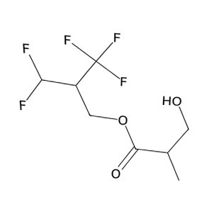 CC(CO)C(=O)OCC(C(F)F)C(F)(F)F